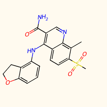 Cc1c(S(C)(=O)=O)ccc2c(Nc3cccc4c3CCO4)c(C(N)=O)cnc12